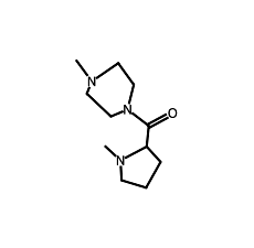 CN1CCN(C(=O)C2CCCN2C)CC1